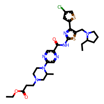 CCOC(=O)CCN1CCN(c2cnc(C(=O)Nc3nc(-c4cc(Cl)cs4)c(CN4CCCC4CC)s3)cn2)C(C)C1